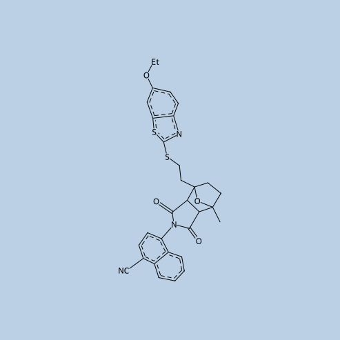 CCOc1ccc2nc(SCCC34CCC(C)(O3)C3C(=O)N(c5ccc(C#N)c6ccccc56)C(=O)C34)sc2c1